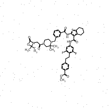 COC(=O)c1ccc(CCc2c(F)cc(NC(=O)c3c(NC(=O)c4cccc(CN5CCN(C(=O)CN6C(=O)OC6(C)C)CC5(C)C)c4)sc4c3CCCC4)cc2F)cc1